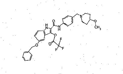 COC1CCN(Cc2ccc(NC(=O)c3[nH]c4ccc(OCc5ccccc5)cc4c3OC(=O)C(F)(F)F)cc2)CC1